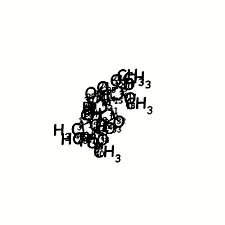 CCC1(C)C(O[C@@H]2c3cc4c(cc3[C@@H](c3cc(OC)c(OC)c(OC)c3)[C@H]3C(=O)OC[C@@H]32)OCO4)O[C@@H]2CO[C@@H](C)O[C@H]2[C@@H]1O